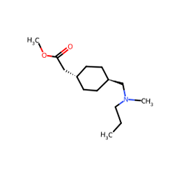 CCCN(C)C[C@H]1CC[C@H](CC(=O)OC)CC1